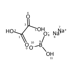 O=C(O)C(=O)O.[Na+].[Na+].[O-]B([O-])O